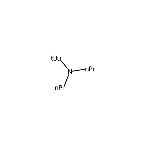 CCCN(CCC)C(C)(C)C